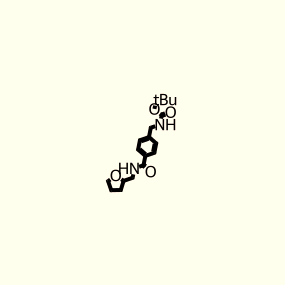 CC(C)(C)OC(=O)NCc1ccc(C(=O)NCC2CCCO2)cc1